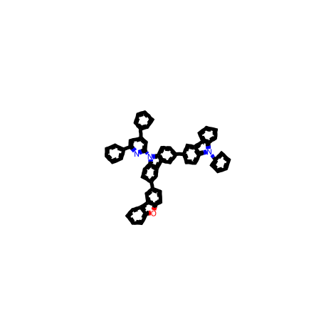 c1ccc(-c2cc(-c3ccccc3)nc(-n3c4ccc(-c5ccc6oc7ccccc7c6c5)cc4c4cc(-c5ccc6c(c5)c5ccccc5n6-c5ccccc5)ccc43)c2)cc1